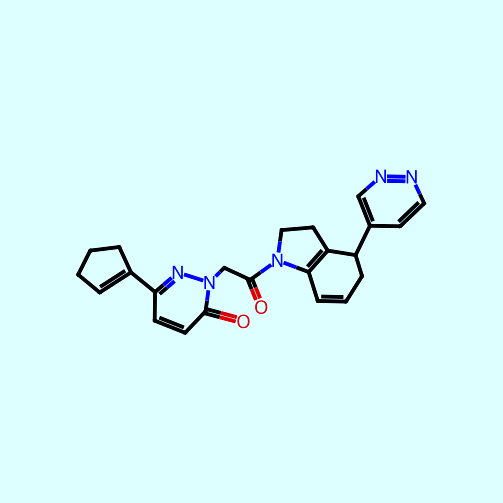 O=C(Cn1nc(C2=CCCC2)ccc1=O)N1CCC2=C1C=CCC2c1ccnnc1